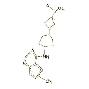 Cc1ccc2ncnc(NC3CCC(N4CC([S+](C)[O-])C4)CC3)c2c1